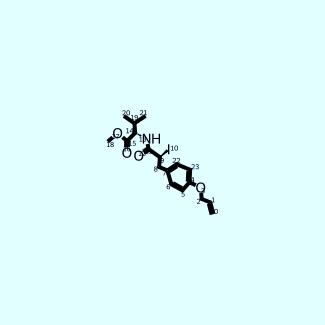 C=CCOc1ccc(C[C@H](I)C(=O)N[C@H](C(=O)OC)C(C)C)cc1